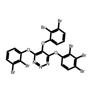 Brc1cccc(Oc2nnnc(Oc3ccc(Br)c(Br)c3Br)c2Oc2cccc(Br)c2Br)c1Br